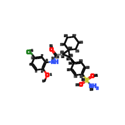 COc1ccc(Cl)cc1NC(=O)[C@H]1[C@H](c2ccc(S(N)(=O)=O)cc2)C12CCCCC2